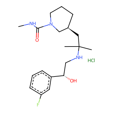 CNC(=O)N1CCC[C@@H](CC(C)(C)NC[C@H](O)c2cccc(F)c2)C1.Cl